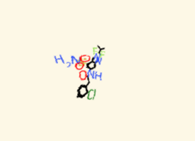 CC(C)C(F)(F)n1cc2c(S(N)(=O)=O)cc(NC(=O)Cc3ccccc3Cl)cc2n1